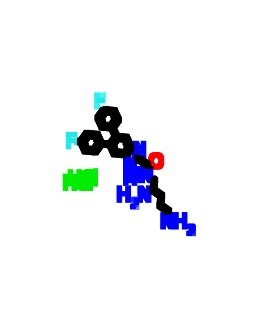 Cl.Cl.NCCCC(N)CNC(=O)c1nc2cc(-c3ccc(F)cc3)c(-c3ccc(F)cc3)cc2[nH]1